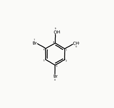 [CH]c1cc(Br)cc(Br)c1O